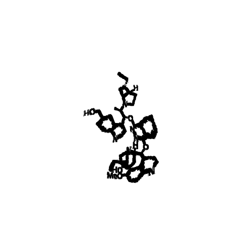 C=C[C@H]1CC2[C@H]1CCN2[C@H](C)[C@H](Oc1nnc(O[C@@H](c2ccnc3ccc(OC)cc23)[C@H]2CC3CCN2CC3(O)C=C)c2ccccc12)c1ccnc2ccc(CO)cc12